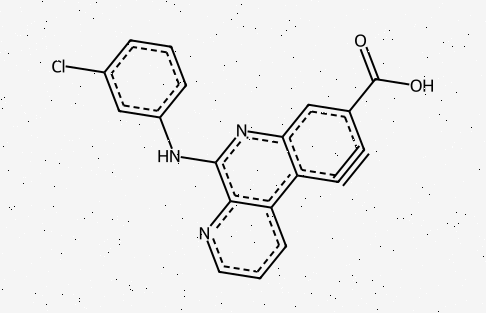 O=C(O)c1c#cc2c(c1)nc(Nc1cccc(Cl)c1)c1ncccc12